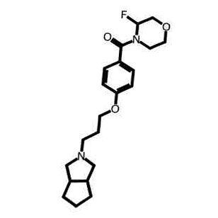 O=C(c1ccc(OCCCN2CC3CCCC3C2)cc1)N1CCOCC1F